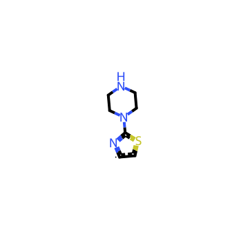 [c]1csc(N2CCNCC2)n1